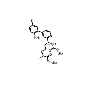 CC(OCC[C@H](NC(=O)OC(C)(C)C)c1cc(-c2cc(F)ccc2N)ccn1)C(=O)OC(C)(C)C